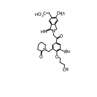 CCOc1cc2c(cc1CC(=O)O)C(=N)N(CC(=O)c1cc(CN3CCCCC3=O)c(OCCCC#N)c(C(C)(C)C)c1)C2